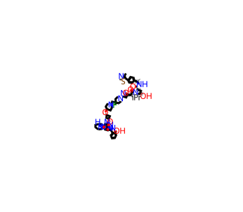 Cc1ncsc1-c1ccc([C@H](C)NC(=O)[C@@H]2C[C@@H](O)CN2C(=O)[C@@H](c2cc(N3CCC(F)(CN4CCC(O[C@H]5C[C@H](Oc6cc(N7C8CCC7CN(c7cc(-c9ccccc9O)nnc7N)C8)ccn6)C5)CC4)CC3)no2)C(C)C)cc1